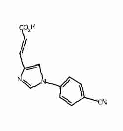 N#Cc1ccc(-n2cnc(C=CC(=O)O)c2)cc1